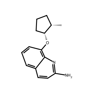 C[C@H]1CCC[C@H]1Oc1cccc2ccc(N)nc12